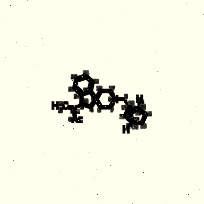 CC(=O)N(C)[C@H]1CC2(CCN(C[C@H]3C[C@H]4CC[C@H]3C4)CC2)c2ccccc21